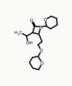 CC(O)C1C(=O)N(C2CCCCO2)C1CCOC1CCCCO1